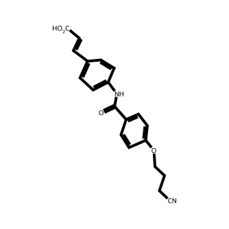 N#CCCCOc1ccc(C(=O)Nc2ccc(/C=C/C(=O)O)cc2)cc1